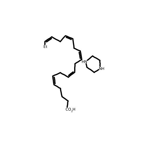 C1CNCCN1.CC/C=C\C/C=C\C/C=C\C/C=C\C/C=C\CCCC(=O)O